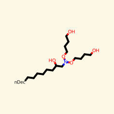 CCCCCCCCCCCCCCCCC(O)CN(OCCCCO)OCCCCO